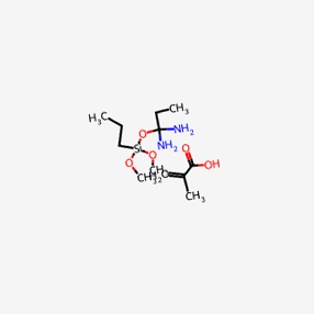 C=C(C)C(=O)O.CCC[Si](OC)(OC)OC(N)(N)CC